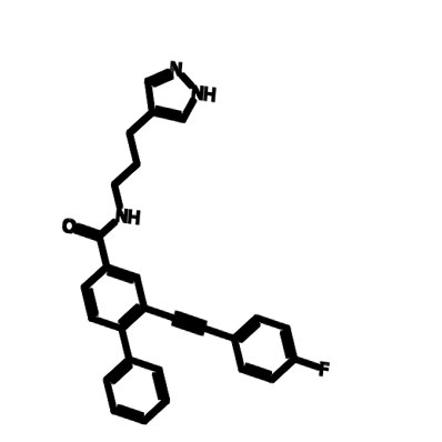 O=C(NCCCc1cn[nH]c1)c1ccc(-c2ccccc2)c(C#Cc2ccc(F)cc2)c1